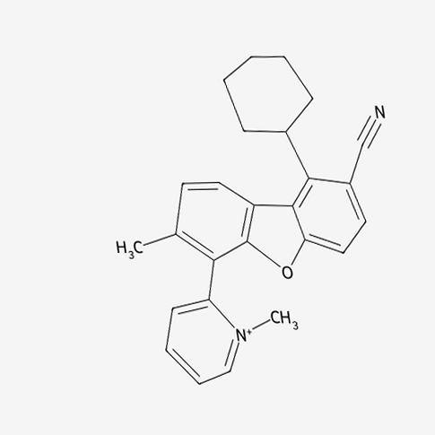 Cc1ccc2c(oc3ccc(C#N)c(C4CCCCC4)c32)c1-c1cccc[n+]1C